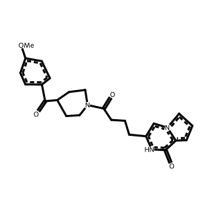 COc1ccc(C(=O)C2CCN(C(=O)CCCc3cn4cccc4c(=O)[nH]3)CC2)cc1